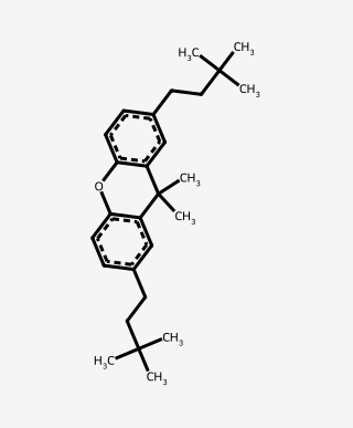 CC(C)(C)CCc1ccc2c(c1)C(C)(C)c1cc(CCC(C)(C)C)ccc1O2